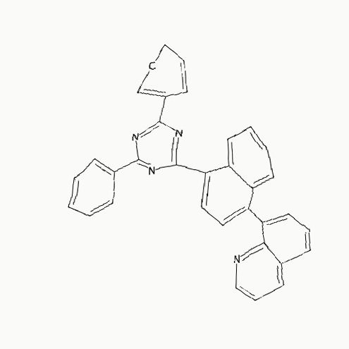 C1=CC(c2nc(-c3ccccc3)nc(-c3ccc(-c4cccc5cccnc45)c4ccccc34)n2)=CCC1